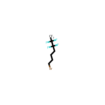 FC(F)(F)C(F)(F)C(F)(F)CCCCBr